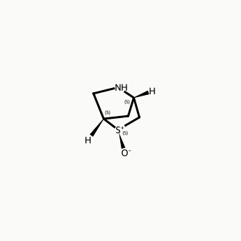 [O-][S@+]1C[C@@H]2C[C@H]1CN2